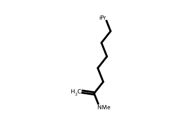 C=C(CCCCCC(C)C)NC